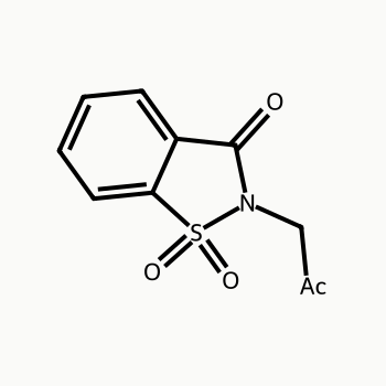 CC(=O)CN1C(=O)c2ccccc2S1(=O)=O